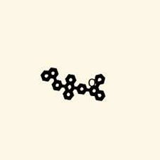 c1cc(-c2cccc3ccccc23)cc(-c2c3ccccc3c(-c3ccc(-c4cc5ccccc5c5c4oc4ccccc45)cc3)c3ccccc23)c1